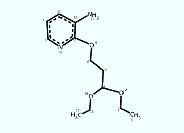 CCOC(CCOc1ncccc1N)OCC